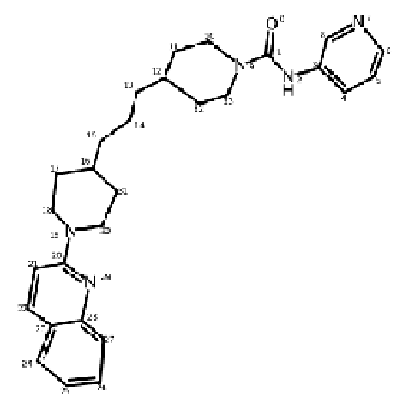 O=C(Nc1cccnc1)N1CCC(CCCC2CCN(c3ccc4ccccc4n3)CC2)CC1